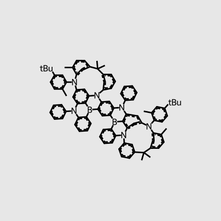 Cc1cc(C(C)(C)C)ccc1N1c2cc3c4c(c2)N(c2ccccc2)c2cc5c(cc2B4c2ccccc2N3c2cccc(c2)C(C)(C)c2ccc(C)c1c2)B1c2ccccc2N(c2ccccc2)c2cc3cc(c21)N5c1cccc(c1)C(C)(C)c1ccc(C)c(c1)N3c1cc(C(C)(C)C)ccc1C